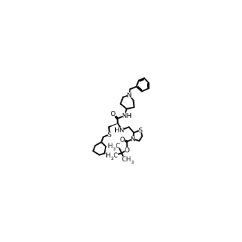 CC(C)(C)OC(=O)N1CCSC1CN[C@@H](CSCC1CCCCC1)C(=O)NC1CCN(Cc2ccccc2)CC1